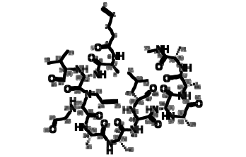 C=CCCC(=O)N[C@@H](C)C(=O)N[C@@H](N[C@@H](C=O)C(C)C)C(=O)N(CC=C)[C@@H](NCC=O)C(=O)N[C@@H](C)C(=O)N[C@@H](C)C(=O)N[C@@H](N[C@@H](C=O)CC(C)C)C(=O)N[C@@H](N[C@@H](C)C=O)C(=O)N[C@@H](C)C(=O)N[C@@H](C)C(=O)NC